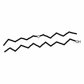 CCCCCCCCCCCCO.CCCCCCOCCCCCC